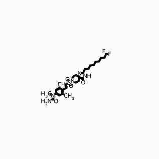 Cc1cc(N(C)C(N)=O)cc(C)c1CCS(=O)(=O)N1CCC2(CC1)N=C(CCCCCCCCC(F)F)NC2=O